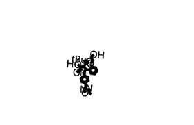 Cc1nc(-c2ccc(N3C(=O)C(O)=C(C(=O)C(C)(C)C)C3c3ccccc3OCCO)cc2)no1